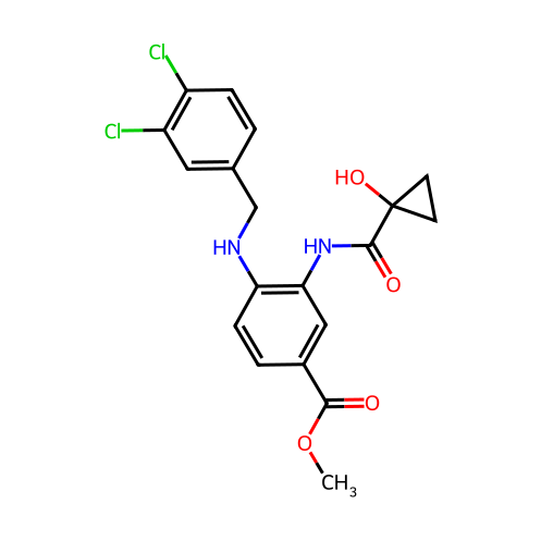 COC(=O)c1ccc(NCc2ccc(Cl)c(Cl)c2)c(NC(=O)C2(O)CC2)c1